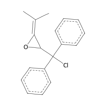 CC(C)=C1OC1C(Cl)(c1ccccc1)c1ccccc1